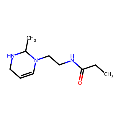 CCC(=O)NCCN1C=CCNC1C